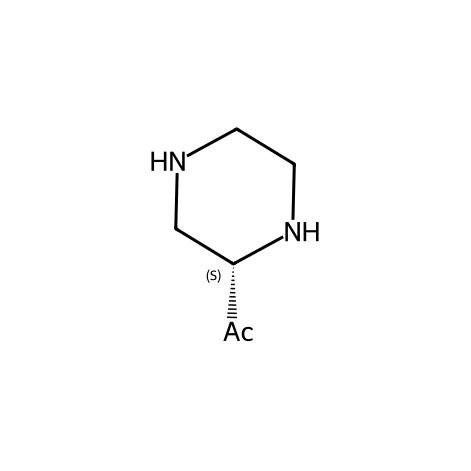 CC(=O)[C@@H]1CNCCN1